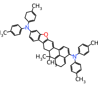 CC1=CC=C(N(c2ccc(C)cc2)c2ccc3c4c(oc3c2)C=C2c3ccc(N(c5ccc(C)cc5)c5ccc(C)cc5)c5c3=C(CCC=5)C(C)(C)C2C4)CC1